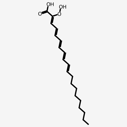 CCCCCCCCCC=CC=CC=CC=CC=C(OO)C(=O)O